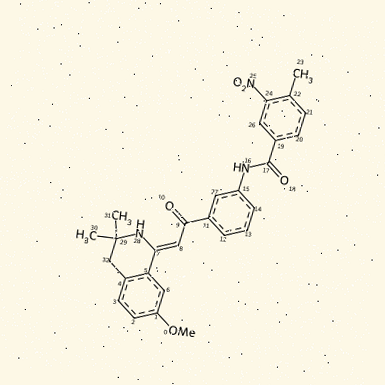 COc1ccc2c(c1)C(=CC(=O)c1cccc(NC(=O)c3ccc(C)c([N+](=O)[O-])c3)c1)NC(C)(C)C2